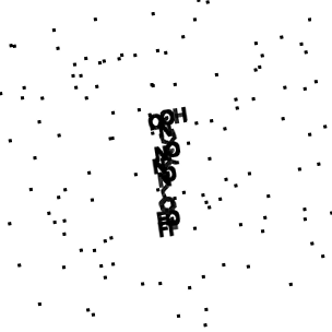 Cc1c(ON=CCc2ccc(OC(F)(F)F)cc2)ncnc1OC1CCN(C(=O)O)CC1